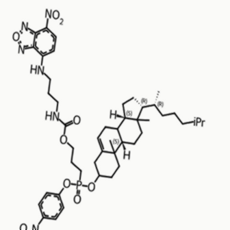 CC(C)CCC[C@@H](C)[C@H]1CC[C@H]2C3CC=C4CC(OP(=O)(CCCOC(=O)NCCCNc5ccc([N+](=O)[O-])c6nonc56)Oc5ccc([N+](=O)[O-])cc5)CCC4(C)[C@H]3CCC12C